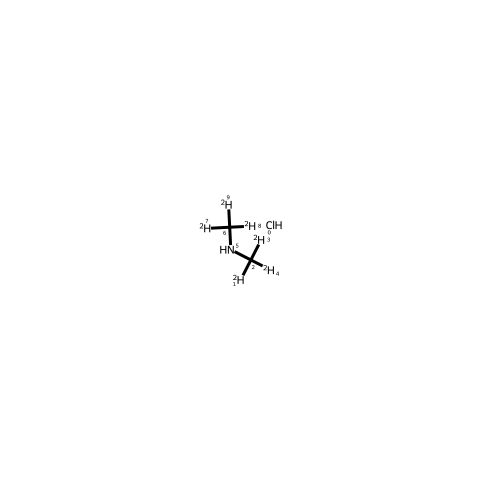 Cl.[2H]C([2H])([2H])NC([2H])([2H])[2H]